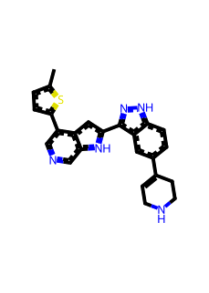 Cc1ccc(-c2cncc3[nH]c(-c4n[nH]c5ccc(C6=CCNCC6)cc45)cc23)s1